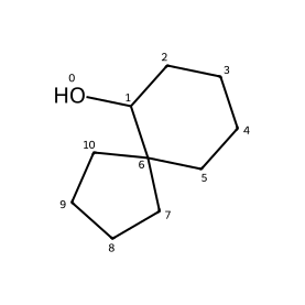 OC1CCCCC12CCCC2